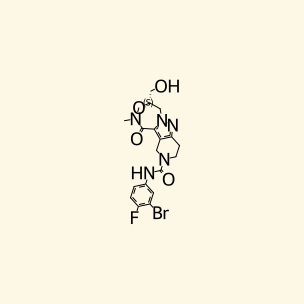 CN1O[C@H](CO)Cn2nc3c(c2C1=O)CN(C(=O)Nc1ccc(F)c(Br)c1)CC3